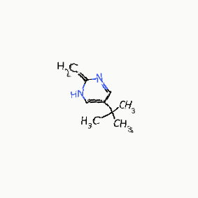 C=C1N=CC(C(C)(C)C)=CN1